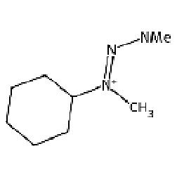 CNN=[N+](C)C1CCCCC1